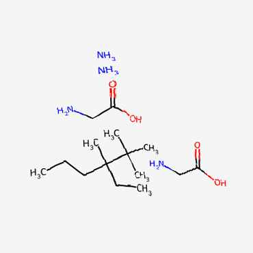 CCCC(C)(CC)C(C)(C)C.N.N.NCC(=O)O.NCC(=O)O